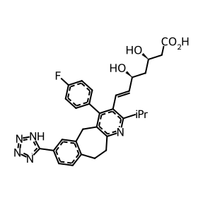 CC(C)c1nc2c(c(-c3ccc(F)cc3)c1/C=C/[C@@H](O)C[C@@H](O)CC(=O)O)Cc1cc(-c3nnn[nH]3)ccc1CC2